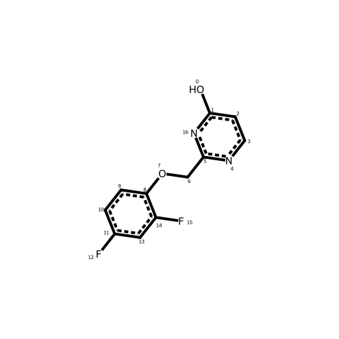 Oc1ccnc(COc2ccc(F)cc2F)n1